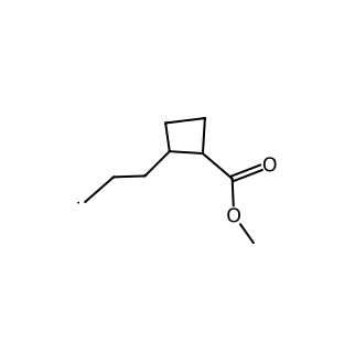 [CH2]CCC1CCC1C(=O)OC